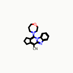 N#Cc1c2c(c(N3CCCOCC3)n3c1nc1ccccc13)CCC2